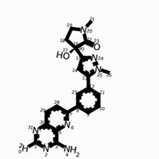 [2H]c1nc(N)c2nc(-c3cccc(-c4cc([C@]5(O)CCN(C)C5=O)nn4C)c3)ccc2n1